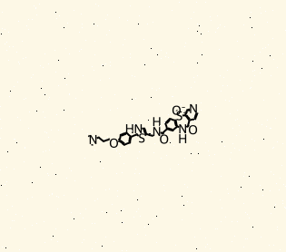 CN(C)CCCOc1ccc(C2NC=C(CNC(=O)c3ccc4c(c3)NC(=O)c3ccncc3[S+]4[O-])S2)cc1